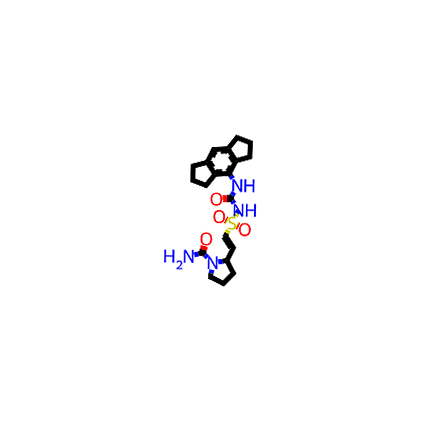 NC(=O)N1CCCC1/C=C/S(=O)(=O)NC(=O)Nc1c2c(cc3c1CCC3)CCC2